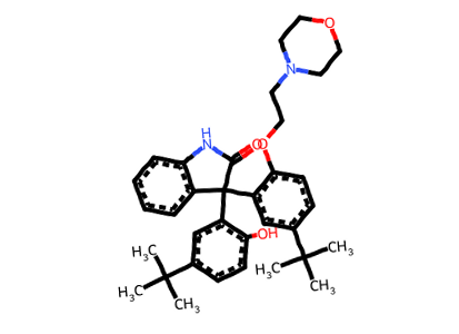 CC(C)(C)c1ccc(O)c(C2(c3cc(C(C)(C)C)ccc3OCCN3CCOCC3)C(=O)Nc3ccccc32)c1